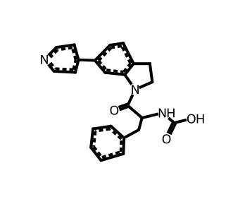 O=C(O)NC(Cc1ccccc1)C(=O)N1CCc2ccc(-c3ccncc3)cc21